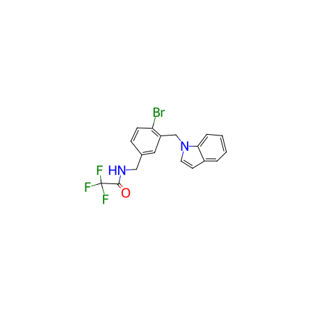 O=C(NCc1ccc(Br)c(Cn2ccc3ccccc32)c1)C(F)(F)F